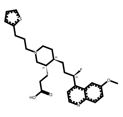 COc1ccc2nccc([C@H](F)CC[C@@H]3CCN(CCCc4cccs4)C[C@H]3CCC(=O)O)c2c1